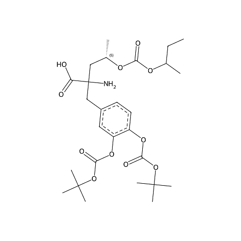 CCC(C)OC(=O)O[C@@H](C)CC(N)(Cc1ccc(OC(=O)OC(C)(C)C)c(OC(=O)OC(C)(C)C)c1)C(=O)O